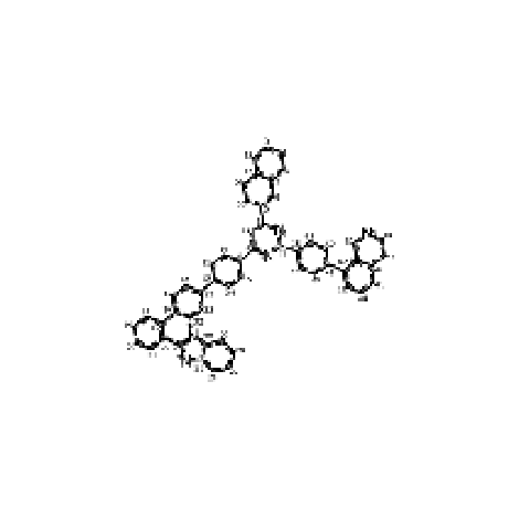 c1ccc2cc(-c3nc(-c4ccc(-c5ccc6c7ccccc7c7nc8ccccc8n7c6c5)cc4)nc(-c4ccc(-c5cccc6ccncc56)cc4)n3)ccc2c1